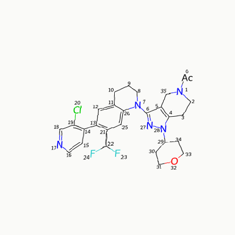 CC(=O)N1CCc2c(c(N3CCCc4cc(-c5ccncc5Cl)c(C(F)F)cc43)nn2C2CCOCC2)C1